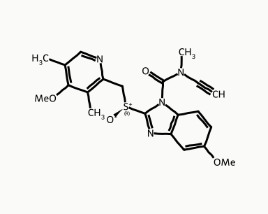 C#CN(C)C(=O)n1c([S@@+]([O-])Cc2ncc(C)c(OC)c2C)nc2cc(OC)ccc21